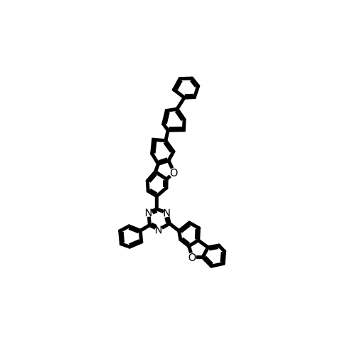 c1ccc(-c2ccc(-c3ccc4c(c3)oc3cc(-c5nc(-c6ccccc6)nc(-c6ccc7c(c6)oc6ccccc67)n5)ccc34)cc2)cc1